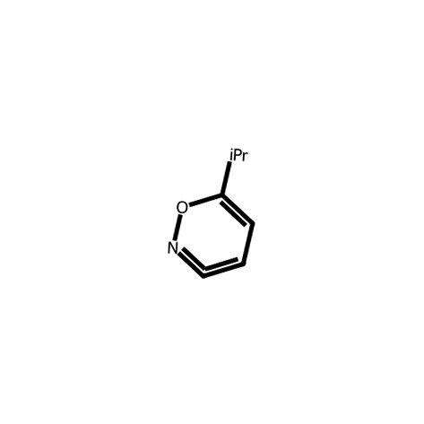 CC(C)C1=CC=C=NO1